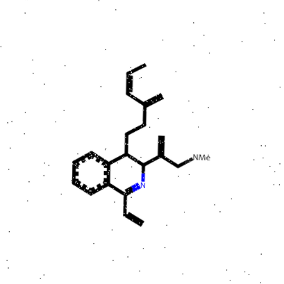 C=CC1=NC(C(=C)CNC)C(CCC(=C)/C=C\C)c2ccccc21